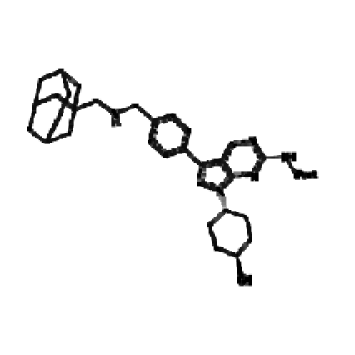 CCCC(C)Nc1ncc2c(-c3ccc(CNCC45CC6CC(CC(C6)C4)C5)cc3)cn([C@H]3CC[C@H](O)CC3)c2n1